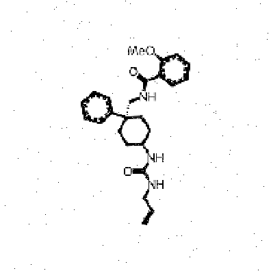 C=CCNC(=O)N[C@H]1CC[C@@](CNC(=O)c2ccccc2OC)(c2ccccc2)CC1